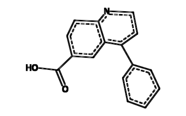 O=C(O)c1ccc2nccc(-c3ccccc3)c2c1